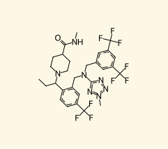 CCC(c1ccc(C(F)(F)F)cc1CN(Cc1cc(C(F)(F)F)cc(C(F)(F)F)c1)c1nnn(C)n1)N1CCC(C(=O)NC)CC1